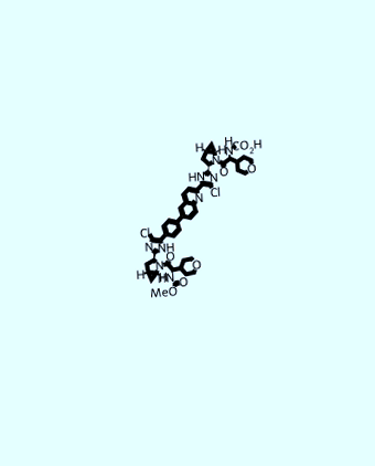 COC(=O)N[C@H](C(=O)N1[C@@H]2C[C@@H]2C[C@H]1c1nc(Cl)c(-c2ccc(-c3ccc4nc(-c5[nH]c([C@@H]6C[C@H]7C[C@H]7N6C(=O)[C@@H](NC(=O)O)C6CCOCC6)nc5Cl)ccc4c3)cc2)[nH]1)C1CCOCC1